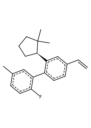 C=Cc1ccc(-c2cc(C)ccc2F)c([C@H]2CCCC2(C)C)c1